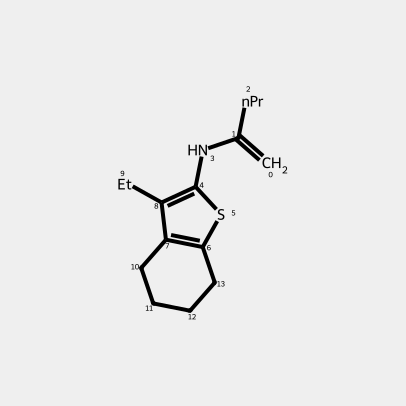 C=C(CCC)Nc1sc2c(c1CC)CCCC2